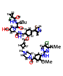 CNc1nc(Nc2ccc(C(=O)N3CCN(C[C@H]4C[C@H](COc5cc(-c6scnc6C)ccc5CNC(=O)[C@@H]5C[C@@H](O)CN5C(=O)[C@@H](NC(=O)C5(F)CC5)C(C)(C)C)C4)CC3)cc2OC)ncc1Cl